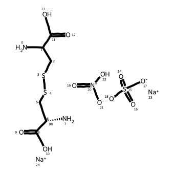 NC(CSSC[C@H](N)C(=O)O)C(=O)O.O=S(=O)([O-])[O-].O=[N+]([O-])O.[Na+].[Na+]